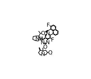 C#Cc1c(F)ccc2cccc(-c3nc4c5c(nc(OCC67CC(OC)CN6CCC7=C)nc5c3F)N3CC5CCC(N5)C3C(C)O4)c12